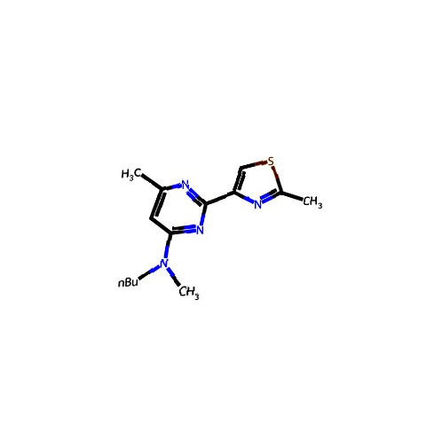 CCCCN(C)c1cc(C)nc(-c2csc(C)n2)n1